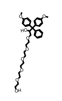 COc1ccc(C(c2ccccc2)(c2ccc(OC)cc2)C(O)COCCOCCOCCOCCOCCO)cc1